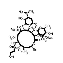 CC[C@@H]1CN(C)[C@@H](C)[C@@H](NS(=O)(=O)CCO)[C@H](C)C[C@](C)(OC)[C@H](O[C@@H]2O[C@H](C)C[C@H](N(C)C)[C@H]2O)[C@@H](C)[C@H](O[C@H]2C[C@@](C)(OC)[C@@H](O)[C@H](C)O2)[C@@H](C)C(=O)O1